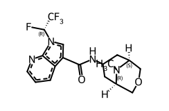 CN1[C@@H]2COC[C@H]1CC(NC(=O)c1cn([C@H](F)C(F)(F)F)c3ncccc13)C2